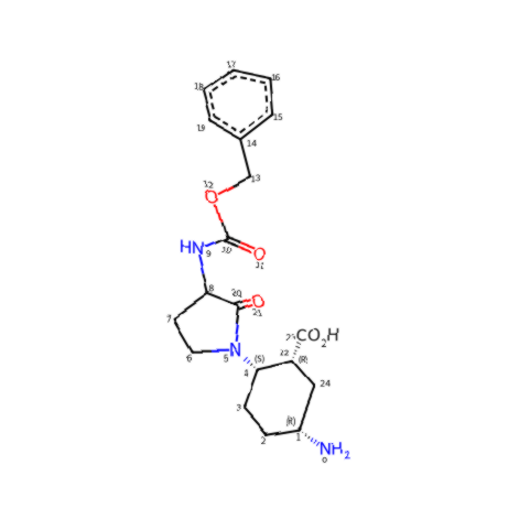 N[C@@H]1CC[C@H](N2CCC(NC(=O)OCc3ccccc3)C2=O)[C@H](C(=O)O)C1